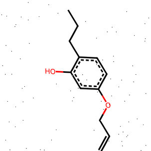 C=CCOc1[c]c(O)c(CCC)cc1